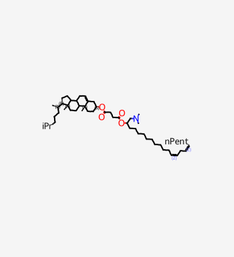 CCCCC/C=C\C/C=C\CCCCCCCCCCC(CN(C)C)OC(=O)CCC(=O)O[C@H]1CC[C@@]2(C)C(=CCC3C2CC[C@@]2(C)C3CC[C@@H]2[C@H](C)CCCC(C)C)C1